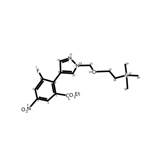 CCOC(=O)c1cc([N+](=O)[O-])cc(F)c1-c1cnn(COCC[Si](C)(C)C)c1